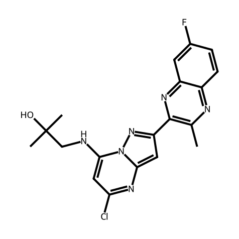 Cc1nc2ccc(F)cc2nc1-c1cc2nc(Cl)cc(NCC(C)(C)O)n2n1